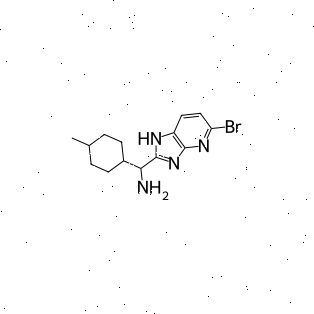 CC1CCC(C(N)c2nc3nc(Br)ccc3[nH]2)CC1